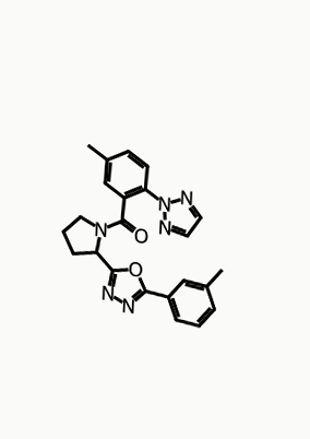 Cc1cccc(-c2nnc(C3CCCN3C(=O)c3cc(C)ccc3-n3nccn3)o2)c1